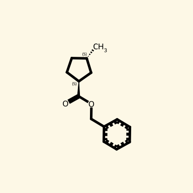 C[C@H]1CC[C@H](C(=O)OCc2ccccc2)C1